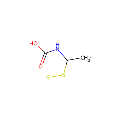 [CH2]C(NC(=O)O)S[S]